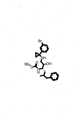 CC(Cc1ccccc1)C[C@H](NC(=O)OC(C)(C)C)[C@H](O)CNC1(c2cccc(Br)c2)CC1